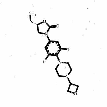 NC[C@H]1CN(c2cc(F)c(N3CCN(C4COC4)CC3)c(F)c2)C(=O)O1